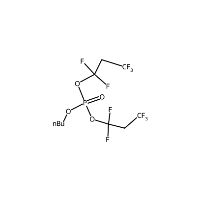 CCCCOP(=O)(OC(F)(F)CC(F)(F)F)OC(F)(F)CC(F)(F)F